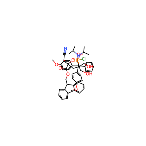 COc1ccc(C(c2ccccc2)(c2ccc(OC)cc2)[PH](Cl)(OC(CC#N)(CC(CO)(CO)CO)C(=O)OCC2c3ccccc3-c3ccccc32)N(C(C)C)C(C)C)cc1